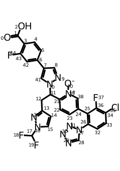 O=C(O)c1ccc(-c2cnn(C(Cc3ccn(C(F)F)n3)c3ccc(-c4c(-n5cnnn5)ccc(Cl)c4F)c[n+]3[O-])c2)cc1F